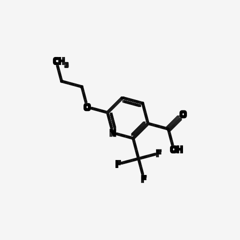 CCCOc1ccc(C(=O)O)c(C(F)(F)F)n1